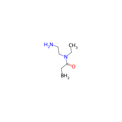 BCC(=O)N(CC)CCN